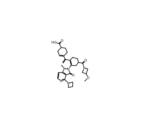 C=C(C1=CCC(C(=O)O)CC1)C1=C(n2c(=O)c3c(N4CCC4)nccc3n2C)CC(C(=O)N2CC(OC)C2)CC1